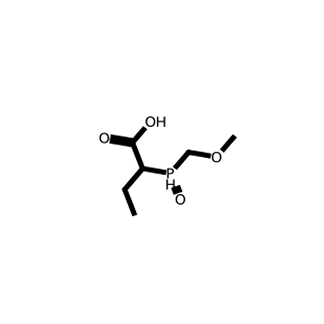 CCC(C(=O)O)[PH](=O)COC